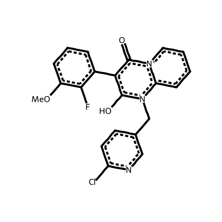 COc1cccc(-c2c(O)n(Cc3ccc(Cl)nc3)c3cccc[n+]3c2=O)c1F